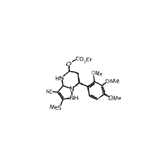 CCOC(=O)OC1CC(c2ccc(OC)c(OC)c2OC)N2NC(SC)=C(C#N)C2N1